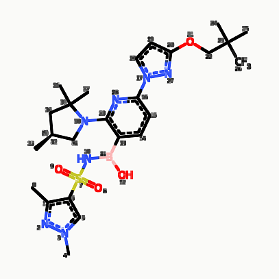 Cc1nn(C)cc1S(=O)(=O)NB(O)c1ccc(-n2ccc(OCC(C)(C)C(F)(F)F)n2)nc1N1C[C@@H](C)CC1(C)C